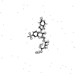 COc1cc(S(C)(=O)=O)ccc1N(C(=O)OCOC(=O)[C@@](C)(NC(=O)OC(C)(C)C)C(C)C)c1nc2ccc(Cl)cn2n1